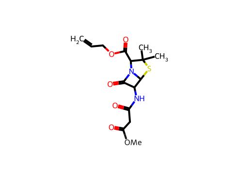 C=CCOC(=O)C1N2C(=O)C(NC(=O)CC(=O)OC)C2SC1(C)C